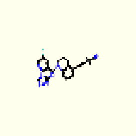 CC(C)(C#N)C#Cc1cccc2c1CCCN2c1nc2nncn2c2ncc(F)cc12